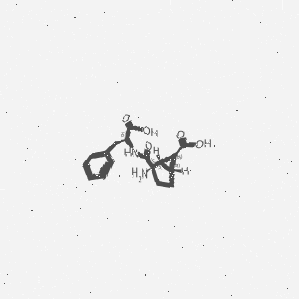 N[C@@]1(C(=O)N[C@@H](Cc2ccccc2)C(=O)O)CC[C@H]2[C@H](C(=O)O)[C@H]21